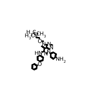 C[Si](C)(C)CCOCn1cc2c3c(ncnc31)N(c1ccc(N)cc1)N=C2Nc1ccc(Oc2ccccc2)cc1